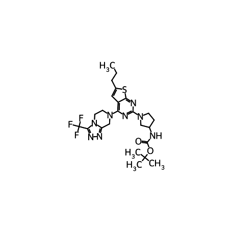 CCCc1cc2c(N3CCn4c(nnc4C(F)(F)F)C3)nc(N3CCC(NC(=O)OC(C)(C)C)C3)nc2s1